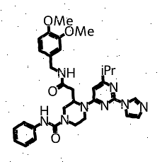 COc1ccc(CNC(=O)CC2CN(C(=O)Nc3ccccc3)CCN2c2cc(C(C)C)nc(-n3ccnc3)n2)cc1OC